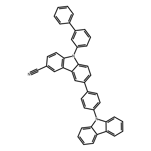 N#Cc1ccc2c(c1)c1cc(-c3ccc(-n4c5ccccc5c5ccccc54)cc3)ccc1n2-c1cccc(-c2ccccc2)c1